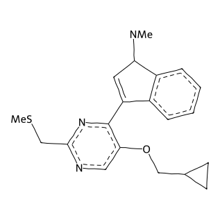 CNC1C=C(c2nc(CSC)ncc2OCC2CC2)c2ccccc21